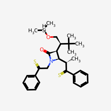 C[C@H](C(=S)c1ccccc1)[C@@H]1[C@H]([C@@H](CO[SiH](C)C)C(C)(C)C)C(=O)N1CC(=S)c1ccccc1